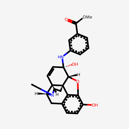 COC(=O)c1cccc(N[C@]2(O)C=C[C@H]3[C@H]4Cc5ccc(O)c6c5[C@@]3(CCN4C)[C@H]2O6)c1